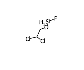 F[SiH2]OCC(Cl)Cl